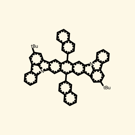 CC(C)(C)c1cc2c3ccccc3n3c4cc5c(-c6ccc7ccccc7c6)c6cc7c8cc(C(C)(C)C)cc9c%10ccccc%10n(c7cc6c(-c6ccc7ccccc7c6)c5cc4c(c1)c23)c98